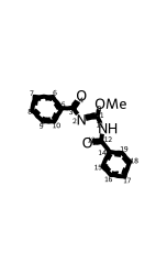 CO/C(=N\C(=O)c1ccccc1)NC(=O)c1ccccc1